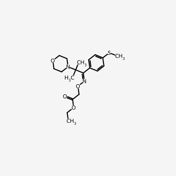 CCOC(=O)CON=C(c1ccc(SC)cc1)C(C)(C)N1CCOCC1